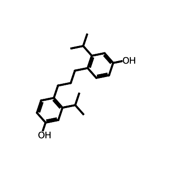 CC(C)c1cc(O)ccc1CCCc1ccc(O)cc1C(C)C